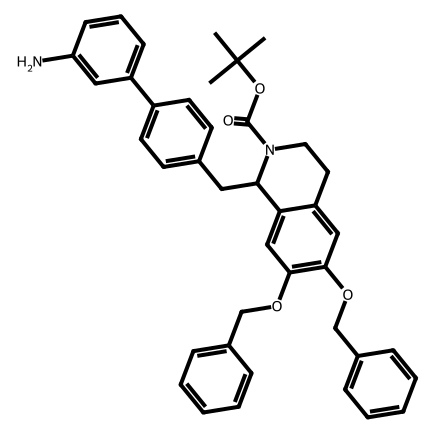 CC(C)(C)OC(=O)N1CCc2cc(OCc3ccccc3)c(OCc3ccccc3)cc2C1Cc1ccc(-c2cccc(N)c2)cc1